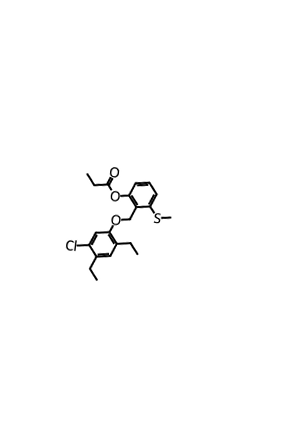 CCC(=O)Oc1cccc(SC)c1COc1cc(Cl)c(CC)cc1CC